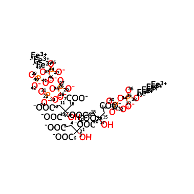 O=C([O-])CC(O)(CC(=O)[O-])C(=O)[O-].O=C([O-])CC(O)(CC(=O)[O-])C(=O)[O-].O=C([O-])CC(O)(CC(=O)[O-])C(=O)[O-].O=P([O-])([O-])OP(=O)([O-])[O-].O=P([O-])([O-])OP(=O)([O-])[O-].O=P([O-])([O-])OP(=O)([O-])[O-].[Fe+3].[Fe+3].[Fe+3].[Fe+3].[Fe+3].[Fe+3].[Fe+3]